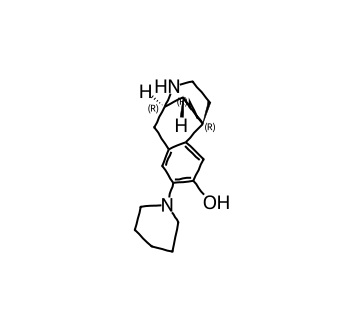 Oc1cc2c(cc1N1CCCCC1)C[C@H]1NCC[C@@]23CCCC[C@@H]13